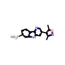 Cc1noc(C)c1-c1cnc2c(c1)[nH]c1cc(C(=O)O)ccc12